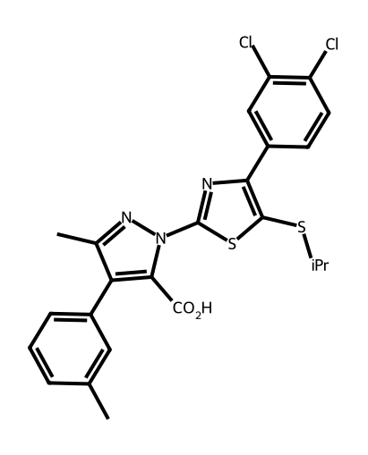 Cc1cccc(-c2c(C)nn(-c3nc(-c4ccc(Cl)c(Cl)c4)c(SC(C)C)s3)c2C(=O)O)c1